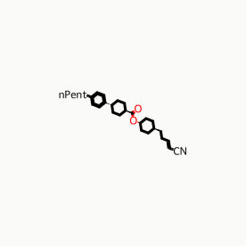 CCCCCc1ccc([C@H]2CC[C@H](C(=O)O[C@H]3CC[C@H](CCC=CC#N)CC3)CC2)cc1